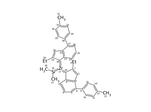 CCC1=Cc2c(cccc2-c2ccc(C)cc2)[C]1=[Zr](=[C]1C(CC)=Cc2c1cccc2-c1ccc(C)cc1)=[Si](C)C